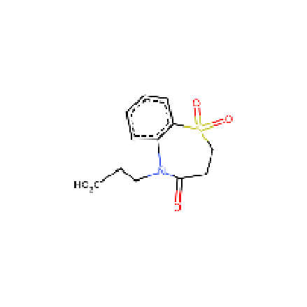 O=C(O)CCN1C(=O)CCS(=O)(=O)c2ccccc21